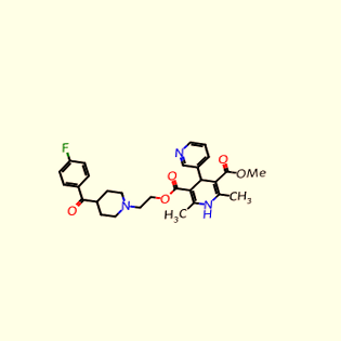 COC(=O)C1=C(C)NC(C)=C(C(=O)OCCN2CCC(C(=O)c3ccc(F)cc3)CC2)C1c1cccnc1